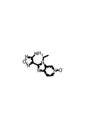 CCn1c(-c2nonc2N)nc2cc[n+]([O-])cc21